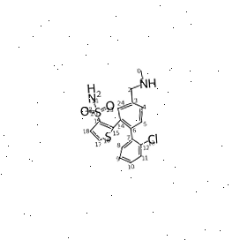 CNCc1ccc(-c2ccccc2Cl)c(-c2sccc2S(N)(=O)=O)c1